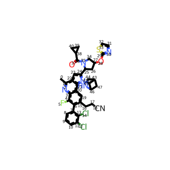 Cc1nc2c(F)c(-c3cccc(Cl)c3Cl)c(CCC#N)cc2c2c1cc(C1CC(Oc3nccs3)CN1C(=O)C1CC1)n2C1C2CNC1C2